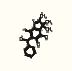 CCC(c1ccccc1)c1c(Cl)c(Cl)c2c(c1I)N=C(C)C2(C)C